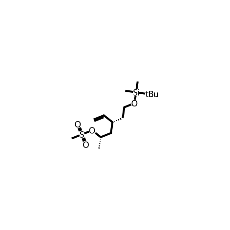 C=C[C@H](CCO[Si](C)(C)C(C)(C)C)C[C@H](C)OS(C)(=O)=O